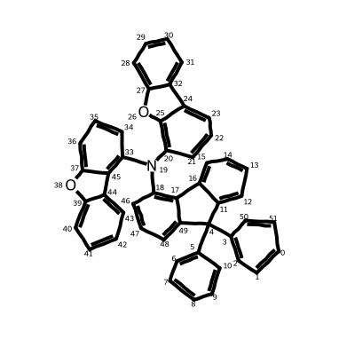 c1ccc(C2(c3ccccc3)c3ccccc3-c3c(N(c4cccc5c4oc4ccccc45)c4cccc5oc6ccccc6c45)cccc32)cc1